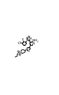 CCCS(=O)(=O)N1CCC(n2cc(-c3cnc(N)c(-c4nnnn4-c4cccc(Cl)c4F)c3)cn2)CC1